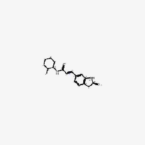 CC1CCCCC1NC(=O)/C=C/c1ccc2c(c1)NC(=O)C2